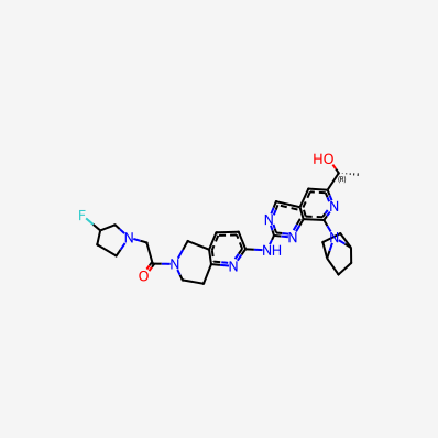 C[C@@H](O)c1cc2cnc(Nc3ccc4c(n3)CCN(C(=O)CN3CCC(F)C3)C4)nc2c(N2C3CCC2CC3)n1